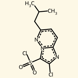 CC(C)Cc1ccc2nc(Cl)c(S(=O)(=O)Cl)n2n1